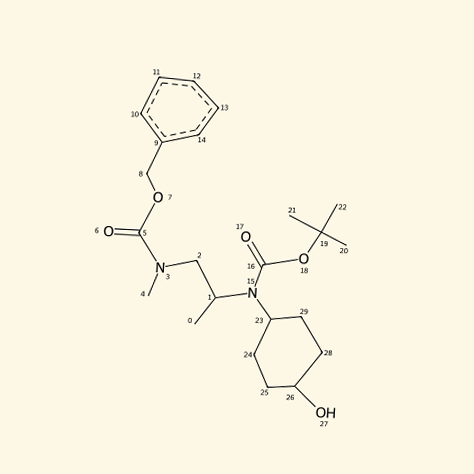 CC(CN(C)C(=O)OCc1ccccc1)N(C(=O)OC(C)(C)C)C1CCC(O)CC1